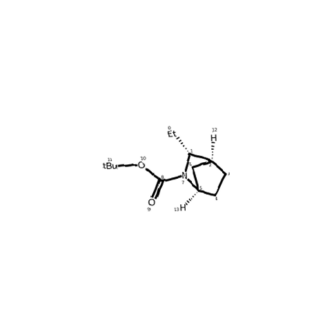 CC[C@@H]1[C@H]2CC[C@H](C2)N1C(=O)OC(C)(C)C